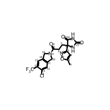 Cc1cc(C2(CCC(=O)N3Cc4cc(Cl)c(C(F)(F)F)cc4C3)NC(=O)NC2=O)no1